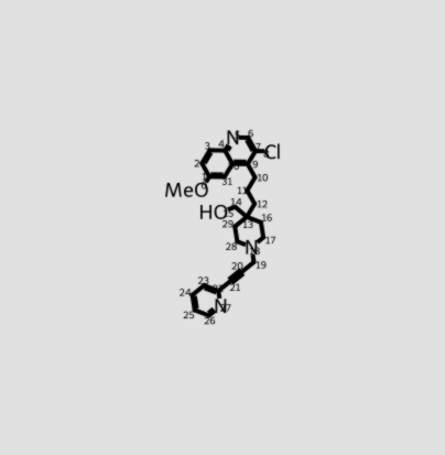 COc1ccc2ncc(Cl)c(CCCC3(CO)CCN(CC#Cc4ccccn4)CC3)c2c1